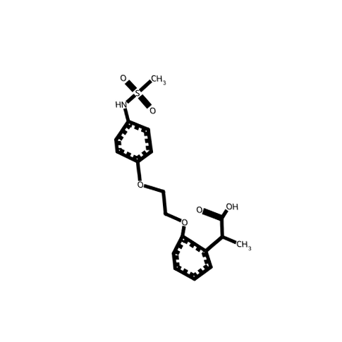 CC(C(=O)O)c1ccccc1OCCOc1ccc(NS(C)(=O)=O)cc1